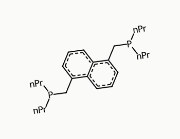 CCCP(CCC)Cc1cccc2c(CP(CCC)CCC)cccc12